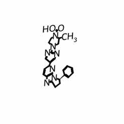 CC1CN(c2ncc(-c3ccc4nc5n(c4n3)[C@@H](c3ccccc3)CC5)cn2)CCN1C(=O)O